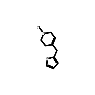 ClN1CC=C(Cc2cccs2)CC1